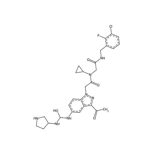 CC(=O)c1nn(CC(=O)N(CC(=O)NCc2cccc(Cl)c2F)C2CC2)c2ccc(NC(O)NC3CCNC3)cc12